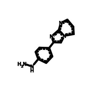 NNc1ccc(-c2cn3cccnc3n2)cc1